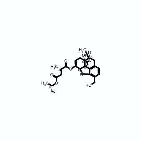 CC(=O)[C@H](C)OC(=O)C[C@H](C)C(=O)OC1=CC[C@@]2(O)[C@H]3Cc4ccc(CO)c5c4[C@@]2(CCN3C)[C@H]1O5